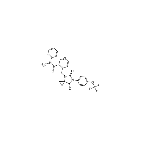 CN(C(=O)c1cnccc1CN1C(=O)N(c2ccc(OC(F)(F)F)cc2)C(=O)C12CC2)c1ccccc1